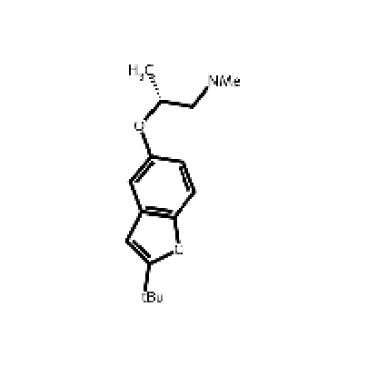 CNC[C@@H](C)Oc1ccc2oc(C(C)(C)C)cc2c1